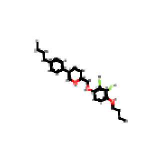 CCCCOc1ccc(OCC2CCC(c3ccc(CCCC)cc3)CO2)c(F)c1F